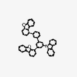 c1cc(-c2cc(-c3cccc4c3oc3ccccc34)cc(-n3c4ccccc4c4ccccc43)c2)cc(-c2cccc3oc4ccccc4c23)c1